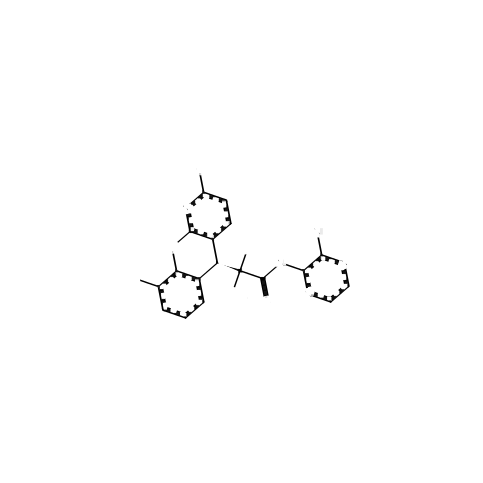 CC(C)(C(=O)Nc1nccnc1N)[C@@H]1c2ccc(Cl)nc2Oc2c(F)cccc21